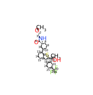 COCCNC(=O)c1cccc(-c2cccc3cc(C(C)(O)c4cccc(C(F)(F)F)c4)sc23)c1